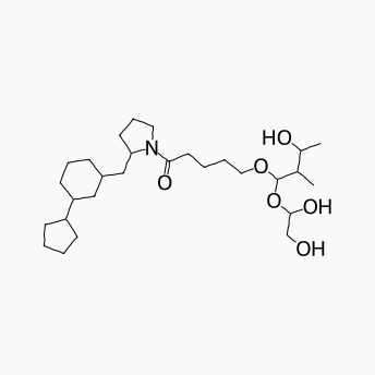 CC(O)C(C)C(OCCCCC(=O)N1CCCC1CC1CCCC(C2CCCC2)C1)OC(O)CO